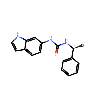 CC[C@H](NC(=O)Nc1ccc2cc[nH]c2c1)c1ccccc1